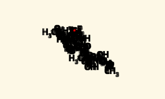 CCn1nccc1-c1ccc([C@H](CO)NC(=O)[C@@H]2C[C@@H](O)CN2C(=O)[C@H](C(C)C)n2cc3c(n2)c(=O)[nH]c2cc(COc4c(-c5c(C)c(F)cc6[nH]ncc56)c(C5CC5)cc5c(N6C[C@@H]7C[C@H]6CN7C(C)=O)nc(OC6CCOCC6)nc45)ccc23)cc1